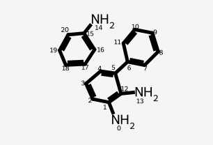 Nc1cccc(-c2ccccc2)c1N.Nc1ccccc1